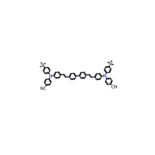 C[Si](C)(C)c1ccc(N(c2ccc(C#N)cc2)c2ccc(/C=C/c3ccc(-c4ccc(/C=C/c5ccc(N(c6ccc(C#N)cc6)c6ccc([Si](C)(C)C)cc6)cc5)cc4)cc3)cc2)cc1